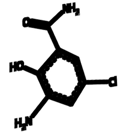 NC(=O)c1cc(Cl)cc(N)c1O